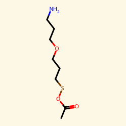 CC(=O)OSCCCOCCCN